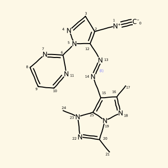 [C-]#[N+]c1cnn(-c2ncccn2)c1/N=N/c1c(C)nn2c(C)nn(C)c12